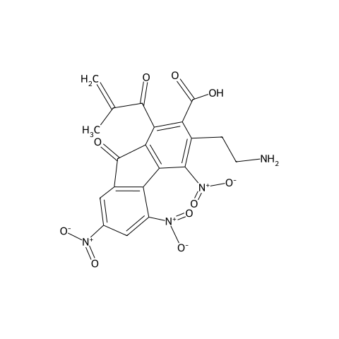 C=C(C)C(=O)c1c(C(=O)O)c(CCN)c([N+](=O)[O-])c2c1C(=O)c1cc([N+](=O)[O-])cc([N+](=O)[O-])c1-2